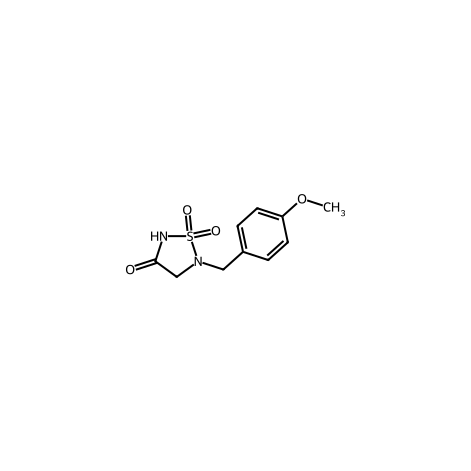 COc1ccc(CN2CC(=O)NS2(=O)=O)cc1